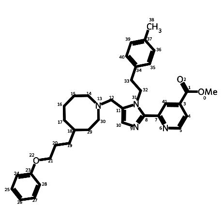 COC(=O)c1ccnc(-c2ncc(CN3CCCCC(CCCOc4ccccc4)CC3)n2CCc2ccc(C)cc2)c1